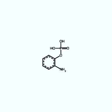 Nc1ccccc1OP(=O)(O)O